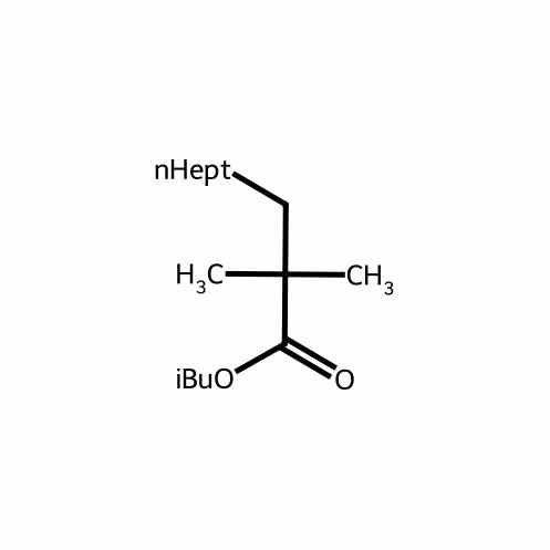 CCCCCCCCC(C)(C)C(=O)OCC(C)C